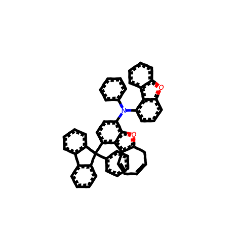 C1=CCc2oc3c(N(c4ccccc4)c4cccc5oc6ccccc6c45)ccc(C4(c5ccccc5)c5ccccc5-c5ccccc54)c3c2C=C1